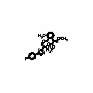 CO/N=C(/C(=O)OC)c1cccc(C)c1CO/N=C(\C)c1ncc(-c2ccc(F)cc2)s1